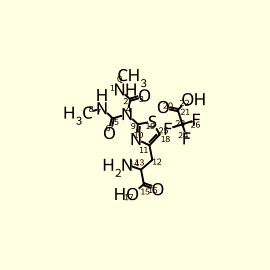 CNC(=O)N(C(=O)NC)c1nc(CC(N)C(=O)O)cs1.O=C(O)C(F)(F)F